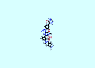 CN1CCN(C)C(c2ccc(Nc3nc(-c4cccc(N5CCc6cc(N(C)C)ccc6C5=O)c4CO)cn(C)c3=O)cc2)C1=O